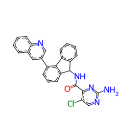 Nc1ncc(Cl)c(C(=O)NC2c3ccccc3-c3c(-c4cnc5ccccc5c4)cccc32)n1